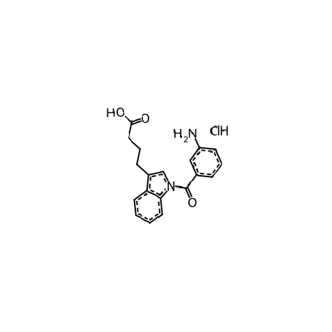 Cl.Nc1cccc(C(=O)n2cc(CCCC(=O)O)c3ccccc32)c1